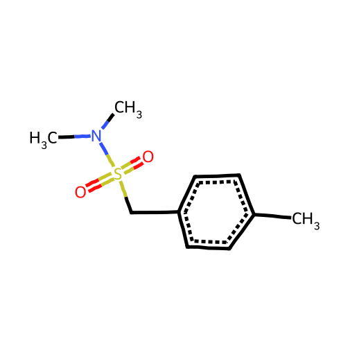 Cc1ccc(CS(=O)(=O)N(C)C)cc1